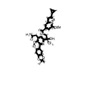 CCOc1c(CC(N)=O)cc([C@@](O)(CNC(=O)c2cc(OC)n3nc(C4CC4)cc3c2)C(F)(F)F)nc1-c1ccc2c(c1)OC(F)(F)O2